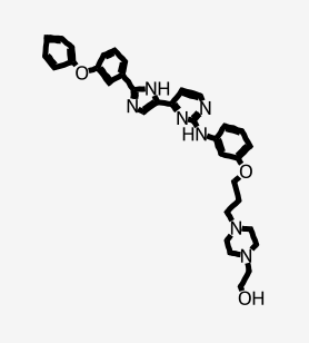 OCCN1CCN(CCCOc2cccc(Nc3nccc(-c4cnc(-c5cccc(Oc6ccccc6)c5)[nH]4)n3)c2)CC1